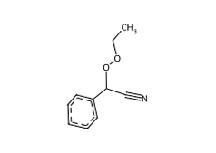 CCOOC(C#N)c1ccccc1